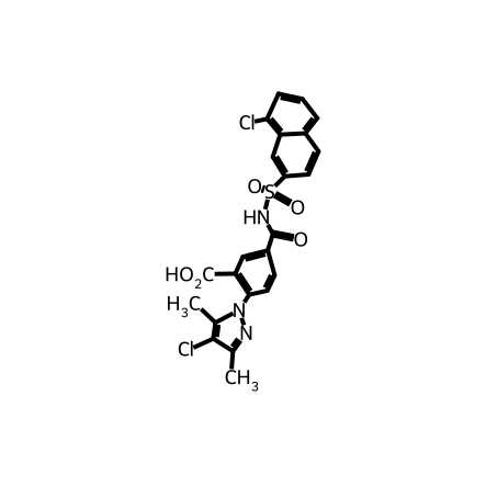 Cc1nn(-c2ccc(C(=O)NS(=O)(=O)c3ccc4cccc(Cl)c4c3)cc2C(=O)O)c(C)c1Cl